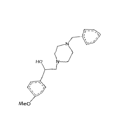 COc1ccc(C(O)CN2CCN(Cc3ccccc3)CC2)cc1